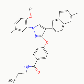 Cc1ccc(OC(C)C)c(-n2cc(-c3ccc4cc(C)ccc4c3)c(Oc3ccc(C(=O)NCCC(=O)O)cc3)n2)c1